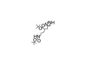 CC(C)(C)OC(=O)NCCCC(Cc1c[nH]cn1)C(=O)OC(C)(C)C